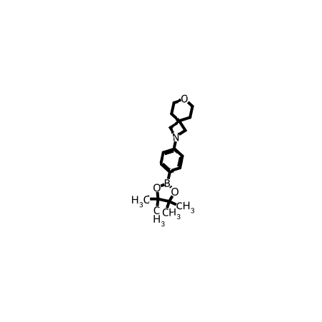 CC1(C)OB(c2ccc(N3CC4(CCOCC4)C3)cc2)OC1(C)C